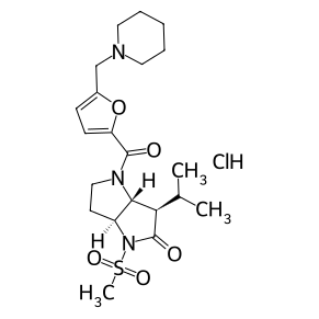 CC(C)[C@H]1C(=O)N(S(C)(=O)=O)[C@H]2CCN(C(=O)c3ccc(CN4CCCCC4)o3)[C@H]12.Cl